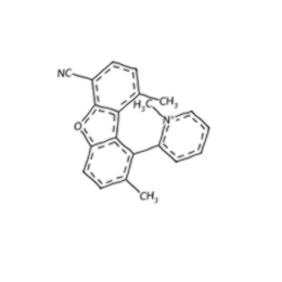 Cc1ccc2oc3c(C#N)ccc(C)c3c2c1-c1cccc[n+]1C